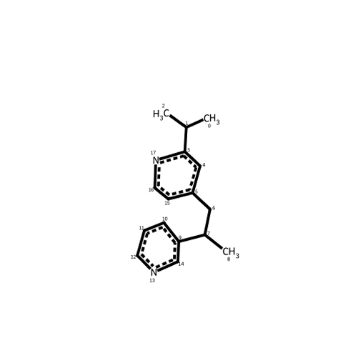 CC(C)c1cc(CC(C)c2cccnc2)ccn1